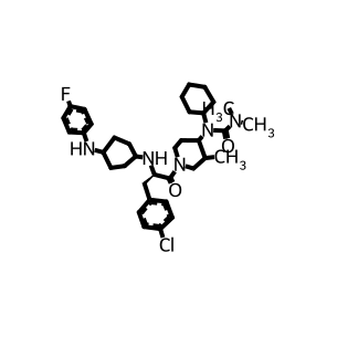 CC1CN(C(=O)[C@@H](Cc2ccc(Cl)cc2)NC2CCC(Nc3ccc(F)cc3)CC2)CCC1N(C(=O)N(C)C)C1CCCCC1